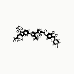 CN(C)S(=O)(=O)n1c(CC(O)CO)cc2nc(-n3cc(-c4cnc(C(=O)Nc5ccc(C(=O)N6CCNCC6)c(Cl)c5)n4C)c(C(F)(F)F)n3)ccc21